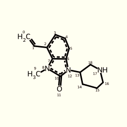 C=Cc1cccc2c1n(C)c(=O)n2C1CCCNC1